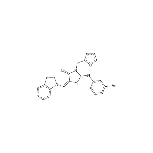 CC(=O)c1cccc(N=C2SC(=CN3CCc4ccccc43)C(=O)N2Cc2ccco2)c1